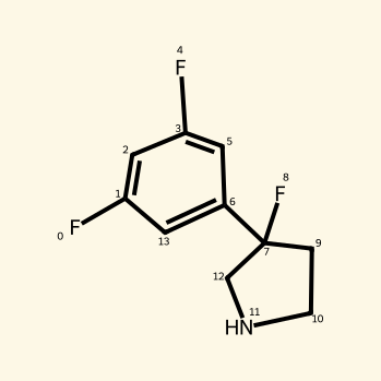 Fc1cc(F)cc(C2(F)CCNC2)c1